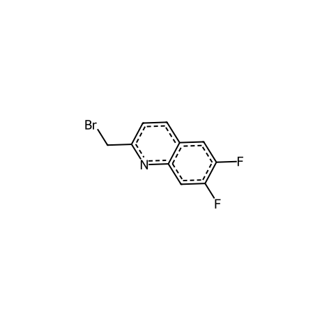 Fc1cc2ccc(CBr)nc2cc1F